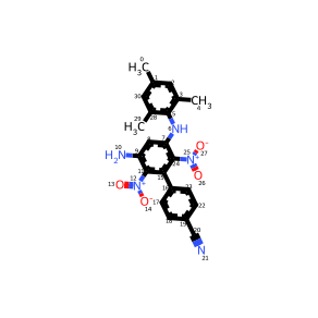 Cc1cc(C)c(Nc2cc(N)c([N+](=O)[O-])c(-c3ccc(C#N)cc3)c2[N+](=O)[O-])c(C)c1